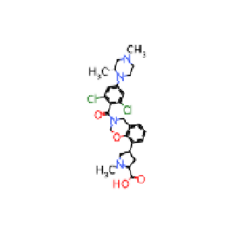 C[C@@H]1CN(C)CCN1c1cc(Cl)c(C(=O)N2COc3c(cccc3C3CC(C(=O)O)N(C)C3)C2)c(Cl)c1